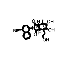 C[C@@]12OC(CCO)([C@@H]3C(=O)N(c4ccc(C#N)c5ccccc45)C(=O)[C@@H]31)[C@@H](O)[C@H]2O